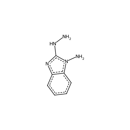 NNc1nc2ccccc2n1N